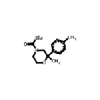 Cc1ccc(C2(C)CN(C(=O)C(C)(C)C)CCO2)cc1